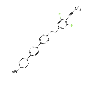 CCCC1CCC(c2ccc(-c3ccc(CCc4cc(F)c(C#CC(F)(F)F)c(F)c4)cc3)cc2)CC1